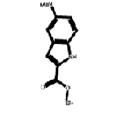 CNc1ccc2[nH]c(C(=O)OC(C)(C)C)cc2c1